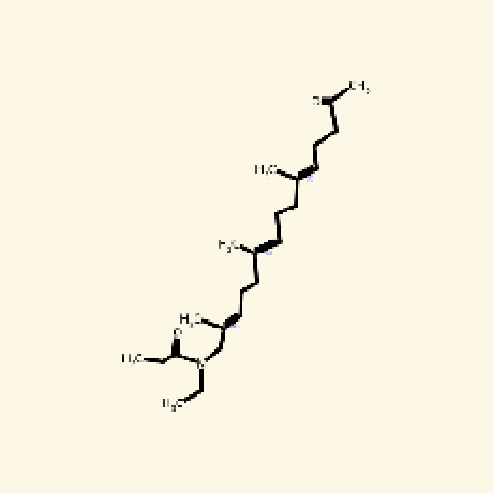 CCC(=O)N(CC)C/C(C)=C/CC/C(C)=C/CC/C(C)=C/CCC(C)=O